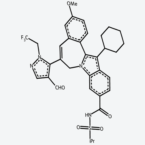 COc1ccc2c(c1)C=C(c1c(C=O)cnn1CC(F)(F)F)Cn1c-2c(C2CCCCC2)c2ccc(C(=O)NS(=O)(=O)C(C)C)cc21